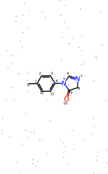 Cc1ccc(N2C=NCC2=O)cc1